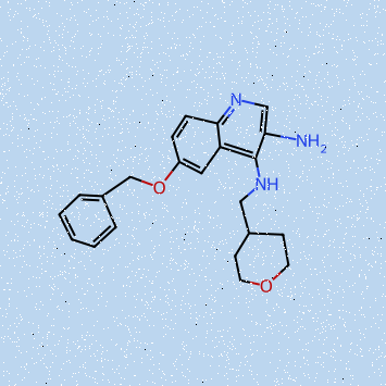 Nc1cnc2ccc(OCc3ccccc3)cc2c1NCC1CCOCC1